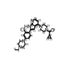 CCN1CCN(c2ccc(-c3cc4c(N5CCN(C(=O)C6CC6)CC5)ccnc4[nH]3)c(Cl)c2)CC1